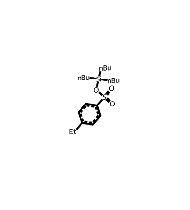 CCCC[Si](CCCC)(CCCC)OS(=O)(=O)c1ccc(CC)cc1